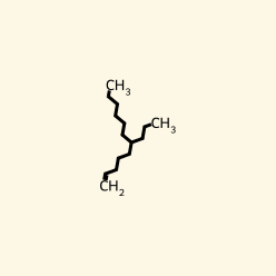 C=CCCCC(CCC)CCCCCC